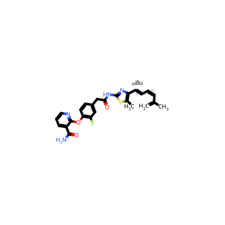 C=C(C)/C=C\C=C(\c1nc(NC(=O)Cc2ccc(Oc3ncccc3C(N)=O)c(F)c2)sc1C)[C@H](C)CC